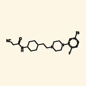 CCc1ccc(F)c(N2CCN(CCC3CCC(NC(=O)CC#N)CC3)CC2)c1